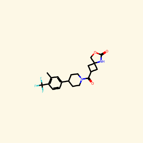 Cc1cc(C2CCN(C(=O)C3CC4(COC(=O)N4)C3)CC2)ccc1C(F)(F)F